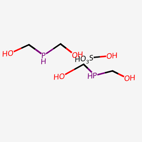 O=S(=O)(O)O.OCPCO.OCPCO